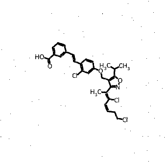 C/C(=C(Cl)\C=C/CCCl)c1noc(C(C)C)c1COc1ccc(/C=C/c2cccc(C(=O)O)c2)c(Cl)c1